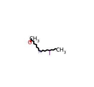 CCCCC(I)CCC/C=C\CCCCCC(C)=O